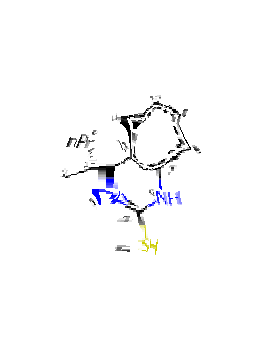 CCC[C@@]1(C)N=C(S)Nc2ccccc21